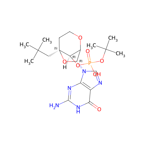 CC(C)(C)C[C@@]12CCOC([C@H](n3cnc4c(=O)[nH]c(N)nc43)O1)[C@H]2OP(=O)(O)OC(C)(C)C